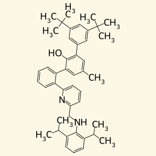 Cc1cc(-c2cc(C(C)(C)C)cc(C(C)(C)C)c2)c(O)c(-c2ccccc2-c2cccc(CNc3c(C(C)C)cccc3C(C)C)n2)c1